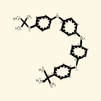 CC(C)(C)Oc1ccc(Oc2ccc(Oc3ccc(Sc4ccc(C(C)(C)C)cc4)cc3)cc2)cc1